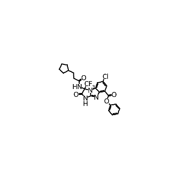 O=C(CCC1CCCC1)NC1(C(F)(F)F)C(=O)Nc2nc3c(C(=O)Oc4ccccc4)cc(Cl)cc3n21